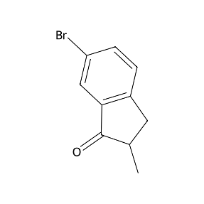 CC1Cc2ccc(Br)cc2C1=O